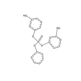 O=P(Oc1ccccc1)(Oc1cccc(O)c1)Oc1cccc(O)c1